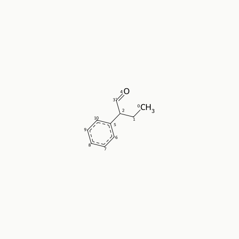 CCC([C]=O)c1ccccc1